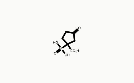 O=C1CCC(C(=O)O)(P(=O)(O)O)C1